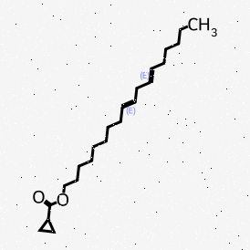 CCCCC/C=C/C/C=C/CCCCCCCCOC(=O)C1CC1